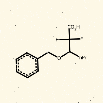 CCCC(OCc1ccccc1)C(F)(F)C(=O)O